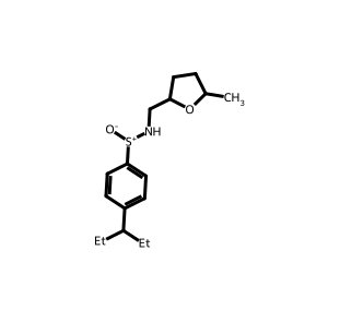 CCC(CC)c1ccc([S+]([O-])NCC2CCC(C)O2)cc1